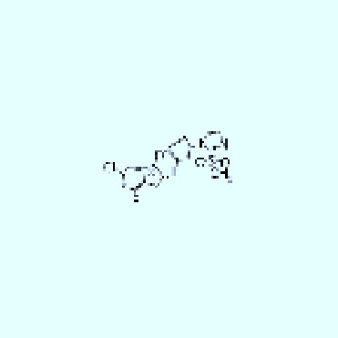 CS(=O)(=O)c1nccn1-c1ccc(O[C@H]2[CH]Cc3c(F)cc(Cl)cc32)c(F)c1